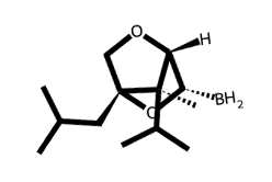 B[C@@H]1O[C@]2(CC(C)C)CO[C@H]1[C@@]2(C)C(C)C